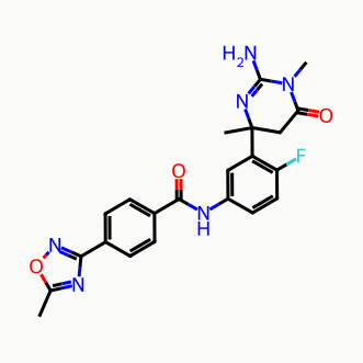 Cc1nc(-c2ccc(C(=O)Nc3ccc(F)c(C4(C)CC(=O)N(C)C(N)=N4)c3)cc2)no1